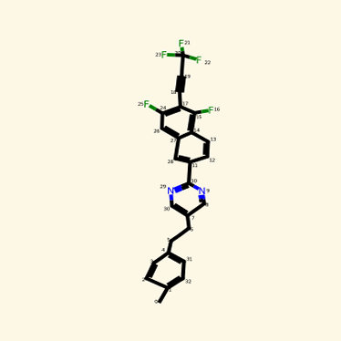 Cc1ccc(CCc2cnc(-c3ccc4c(F)c(C#CC(F)(F)F)c(F)cc4c3)nc2)cc1